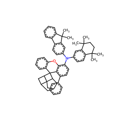 CC1(C)CCC(C)(C)c2cc(N(c3ccc4c(c3)C(C)(C)c3ccccc3-4)c3ccc(-c4ccccc4)c4c3Oc3ccccc3C43C4CC5CC6CC3C64C5)ccc21